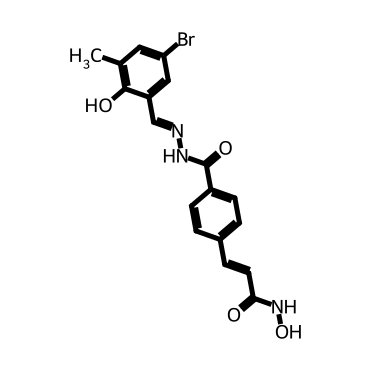 Cc1cc(Br)cc(/C=N/NC(=O)c2ccc(/C=C/C(=O)NO)cc2)c1O